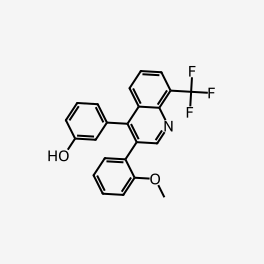 COc1ccccc1-c1cnc2c(C(F)(F)F)cccc2c1-c1cccc(O)c1